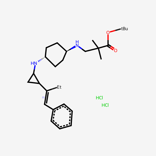 CC/C(=C\c1ccccc1)C1CC1N[C@H]1CC[C@H](NCC(C)(C)C(=O)OC(C)(C)C)CC1.Cl.Cl